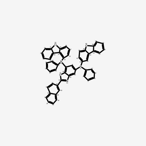 c1ccc(N(c2cc(N(c3ccccc3)c3cccc4oc5ccccc5c34)c3oc(-c4ccc5ccccc5c4)nc3c2)c2ccc3oc4ccccc4c3c2)cc1